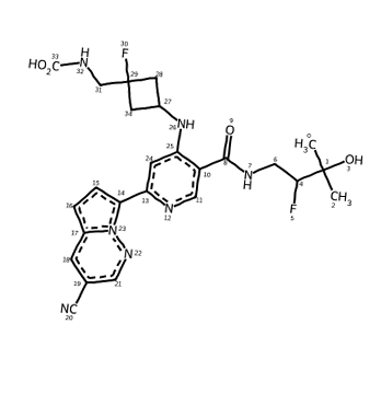 CC(C)(O)C(F)CNC(=O)c1cnc(-c2ccc3cc(C#N)cnn23)cc1NC1CC(F)(CNC(=O)O)C1